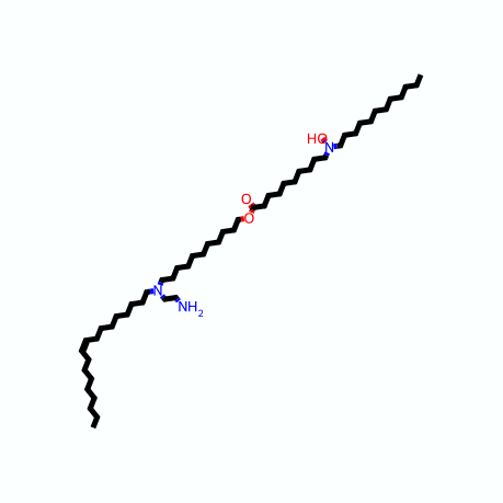 CCCCCCCC/C=C\CCCCCCCCN(CCN)CCCCCCCCCCCOC(=O)CCCCCCCCCN(O)CCCCCCCCCCCC